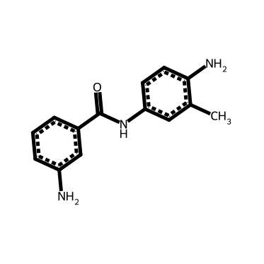 Cc1cc(NC(=O)c2cccc(N)c2)ccc1N